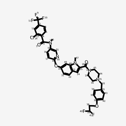 CN(C(=O)c1ccc(C(F)(F)F)cc1Cl)c1ccc(Oc2ccc3cc(C(=O)N4CCN(Cc5ccc(OCC(F)F)cc5)CC4)n(C)c3c2)nc1